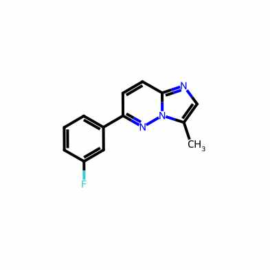 Cc1cnc2ccc(-c3cccc(F)c3)nn12